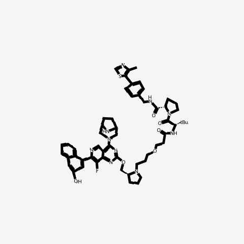 Cc1ncsc1-c1ccc(CNC(=O)[C@@H]2CCCN2C(=O)[C@@H](NC(=O)CCOCCCN2CCC[C@H]2COc2nc(N3CC4CCC(C3)N4)c3cnc(-c4cc(O)cc5ccccc45)c(F)c3n2)C(C)(C)C)cc1